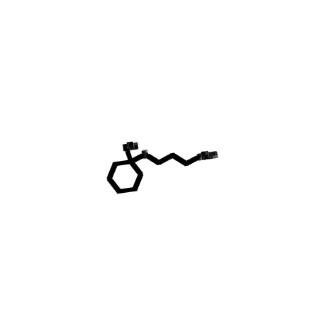 CCCCCCCCCCCCSC1(CCCC)CCCCC1